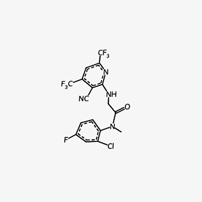 CN(C(=O)CNc1nc(C(F)(F)F)cc(C(F)(F)F)c1C#N)c1ccc(F)cc1Cl